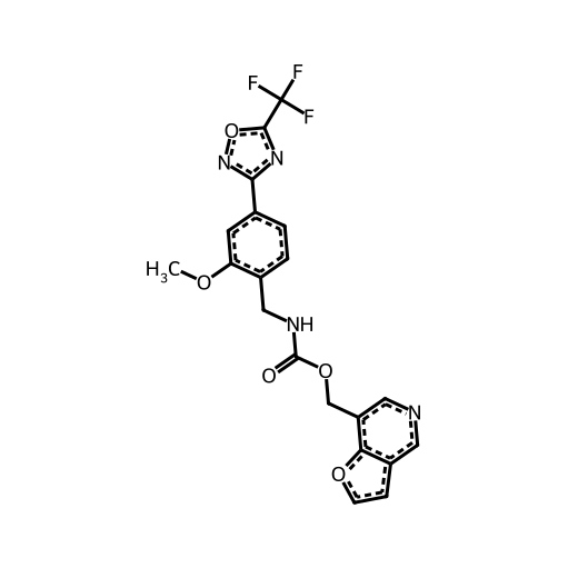 COc1cc(-c2noc(C(F)(F)F)n2)ccc1CNC(=O)OCc1cncc2ccoc12